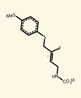 CSc1ccc(SC/C(F)=C/CNC(=O)O)cc1